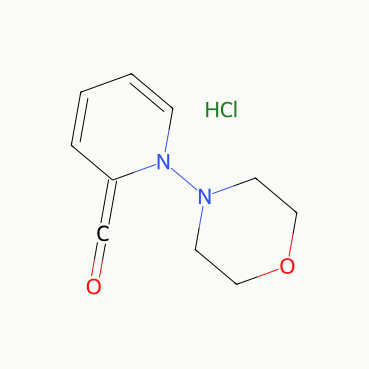 Cl.O=C=C1C=CC=CN1N1CCOCC1